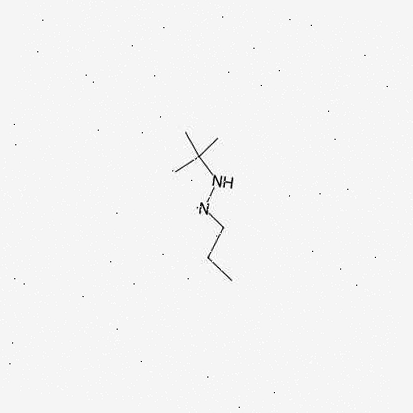 CCC[N]NC(C)(C)C